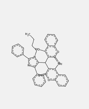 CCCCn1c(-c2ccccc2)nc(-c2ccccc2)c1C(c1c(O)c2ccccc2oc1=O)c1c(O)c2ccccc2oc1=O